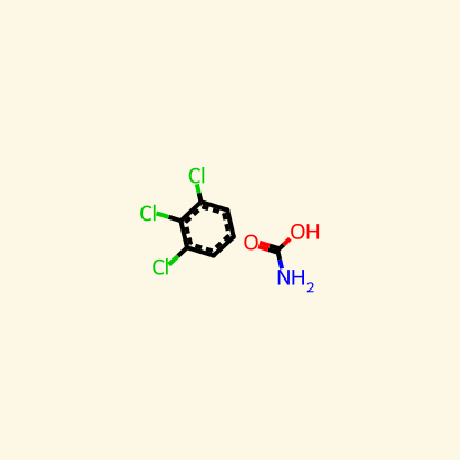 Clc1cccc(Cl)c1Cl.NC(=O)O